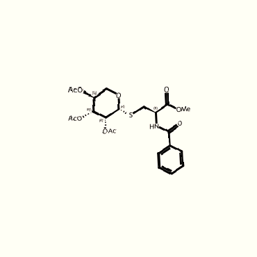 COC(=O)[C@H](CS[C@H]1OC[C@H](OC(C)=O)[C@@H](OC(C)=O)[C@H]1OC(C)=O)NC(=O)c1ccccc1